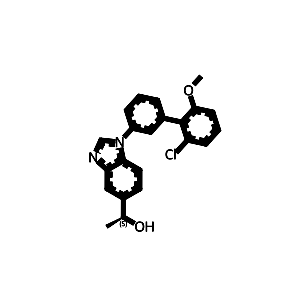 COc1cccc(Cl)c1-c1cccc(-n2cnc3cc([C@H](C)O)ccc32)c1